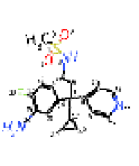 CS(=O)(=O)NCCC(c1ccncc1)(c1ccc(F)c(N)c1)C1CC1